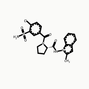 Cc1cc2ccccc2n1NC(=O)[C@@H]1CCCN1C(=O)c1ccc(Cl)c(S(N)(=O)=O)c1